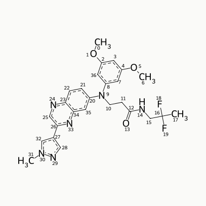 COc1cc(OC)cc(N(CCC(=O)NCC(C)(F)F)c2ccc3ncc(-c4cnn(C)c4)nc3c2)c1